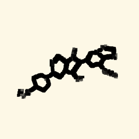 COc1cc(-c2[nH]c3cnc(N4CCC(N)CC4)cc3c2C(C)C)cn2ncnc12